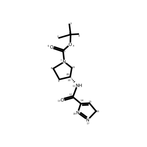 CC(C)(C)OC(=O)N1CC[C@@H](NC(=O)C2=CCN=N2)C1